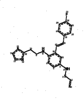 C=CSNc1ccc(NCCc2nccs2)c(/C=C/c2ccc(F)cc2)c1